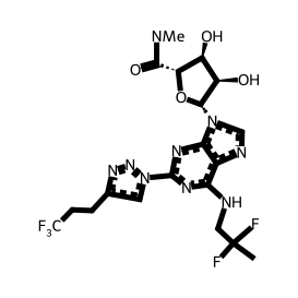 CNC(=O)[C@H]1O[C@@H](n2cnc3c(NCC(C)(F)F)nc(-n4cc(CCC(F)(F)F)nn4)nc32)[C@H](O)[C@@H]1O